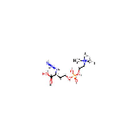 C[N+](C)(C)CCOP(=O)([O-])OCC[C@H](N=[N+]=[N-])C(=O)O